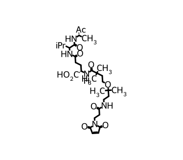 CC(=O)[C@H](C)NC(=O)C(NC(=O)CC[C@H](NC(=O)C(C)(C)CCOC(C)(C)CCNC(=O)CCN1C(=O)C=CC1=O)C(=O)O)C(C)C